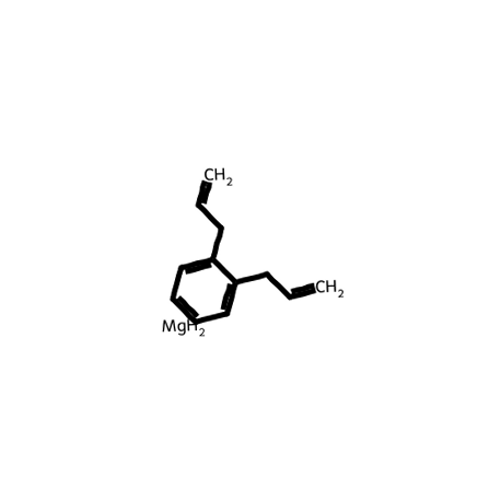 C=CCc1ccccc1CC=C.[MgH2]